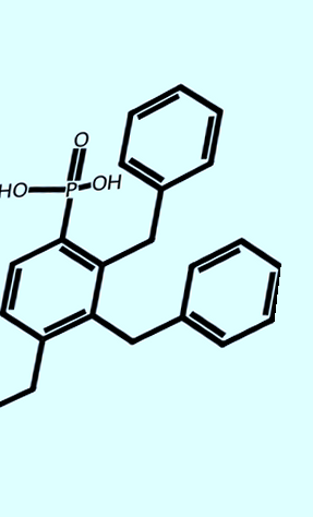 CCc1ccc(P(=O)(O)O)c(Cc2ccccc2)c1Cc1ccccc1